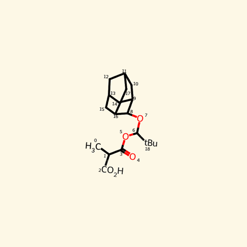 CC(C(=O)O)C(=O)OC(OC1C2CC3CC(C2)CC1C3)C(C)(C)C